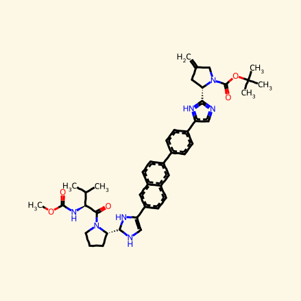 C=C1C[C@@H](c2ncc(-c3ccc(-c4ccc5cc(C6=CNC([C@@H]7CCCN7C(=O)[C@@H](NC(=O)OC)C(C)C)N6)ccc5c4)cc3)[nH]2)N(C(=O)OC(C)(C)C)C1